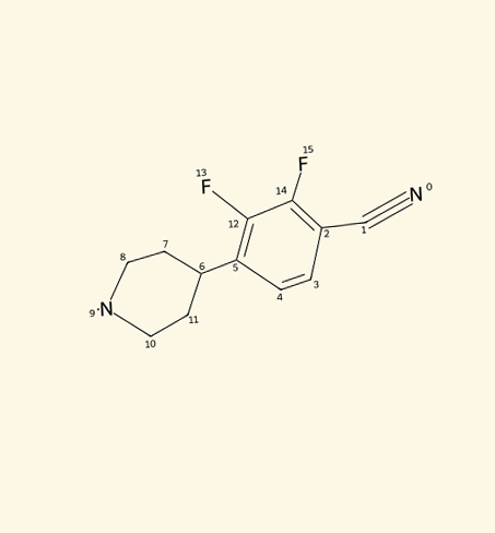 N#Cc1ccc(C2CC[N]CC2)c(F)c1F